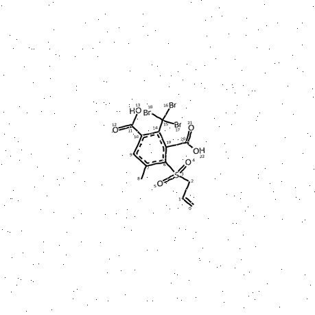 C=CCS(=O)(=O)c1c(C)cc(C(=O)O)c(C(Br)(Br)Br)c1C(=O)O